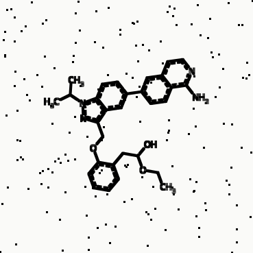 CCOC(O)Cc1ccccc1OCc1nn(C(C)C)c2ccc(-c3ccc4c(N)nccc4c3)cc12